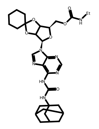 CCNC(=O)OC[C@H]1O[C@@H](n2cnc3c(NC(=O)NC45CC6CC(CC(C6)C4)C5)ncnc32)C2OC3(CCCCC3)OC21